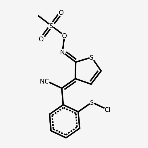 CS(=O)(=O)O/N=C1\SC=C\C1=C(\C#N)c1ccccc1SCl